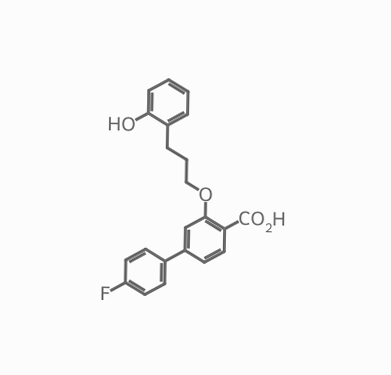 O=C(O)c1ccc(-c2ccc(F)cc2)cc1OCCCc1ccccc1O